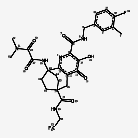 Cc1cc(CNC(=O)c2nc3n(c(=O)c2O)CC2(C(=O)NCC(F)(F)F)CCC3(NC(=O)C(=O)N(C)C)CC2)ccc1F